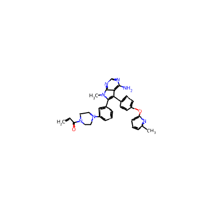 C=CC(=O)N1CCN(c2cccc(-c3c(-c4ccc(Oc5cccc(C)n5)cc4)c4c(N)ncnc4n3C)c2)CC1